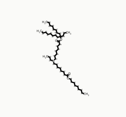 CCCCCCCCCOC(=O)CCCCCCCN(CCC)CCCCCCCC(=O)OC(CCC)(CCCCCCCC)CCCCCCCC